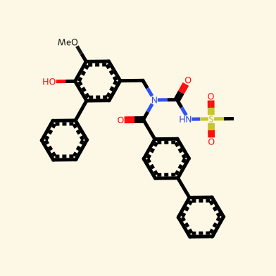 COc1cc(CN(C(=O)NS(C)(=O)=O)C(=O)c2ccc(-c3ccccc3)cc2)cc(-c2ccccc2)c1O